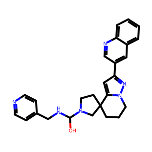 OC(NCc1ccncc1)N1CCC2(CCCn3nc(-c4cnc5ccccc5c4)cc32)C1